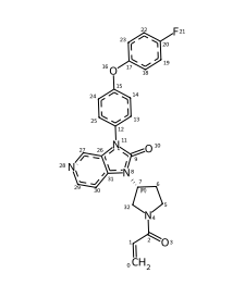 C=CC(=O)N1CC[C@@H](n2c(=O)n(-c3ccc(Oc4ccc(F)cc4)cc3)c3cnccc32)C1